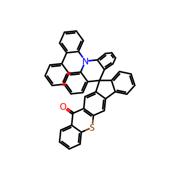 O=c1c2ccccc2sc2cc3c(cc12)C1(c2ccccc2-3)c2ccccc2N(c2ccccc2-c2ccccc2)c2ccccc21